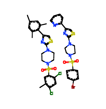 Cc1cc(C)c(-c2csc(N3CCN(S(=O)(=O)c4cc(C)c(Cl)cc4Cl)CC3)n2)c(C)c1.O=S(=O)(c1ccc(Br)cc1)N1CCN(c2nc(-c3ccccn3)cs2)CC1